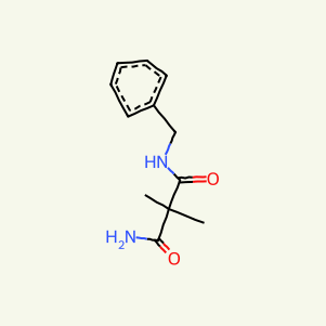 CC(C)(C(N)=O)C(=O)NCc1ccccc1